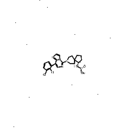 CC(C)(C)[S+]([O-])N[C@@H]1CCCC12CCN(c1ncc(-c3cccc(Cl)c3Cl)c3nccn13)CC2